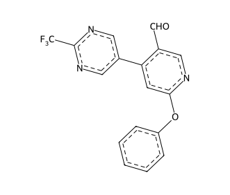 O=Cc1cnc(Oc2ccccc2)cc1-c1cnc(C(F)(F)F)nc1